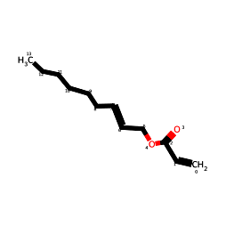 C=CC(=O)OCC=CCCCCCC